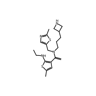 C=C(c1cc(C)sc1NCC)N(CCCC1CNC1)Cc1cnc(C)s1